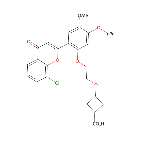 CCCOc1cc(OCCOC2CC(C(=O)O)C2)c(-c2cc(=O)c3cccc(Cl)c3o2)cc1OC